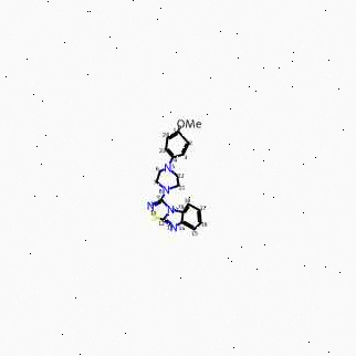 COc1ccc(N2CCN(c3nsc4nc5ccccc5n34)CC2)cc1